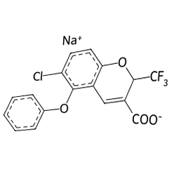 O=C([O-])C1=Cc2c(ccc(Cl)c2Oc2ccccc2)OC1C(F)(F)F.[Na+]